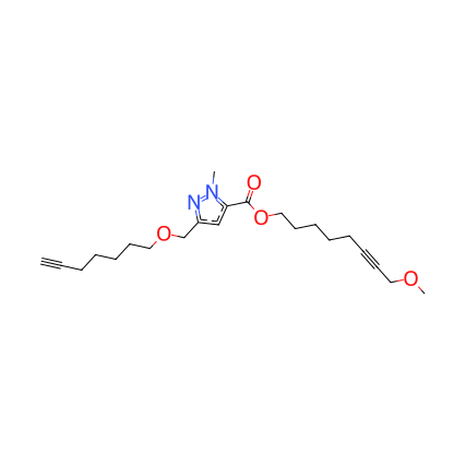 C#CCCCCCOCc1cc(C(=O)OCCCCCC#CCOC)n(C)n1